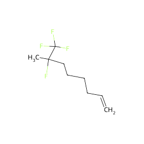 C=CCCCCC(C)(F)C(F)(F)F